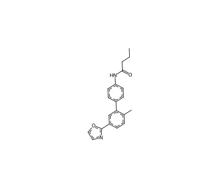 CCCC(=O)Nc1ccc(-c2cc(-c3ncco3)ccc2C)cc1